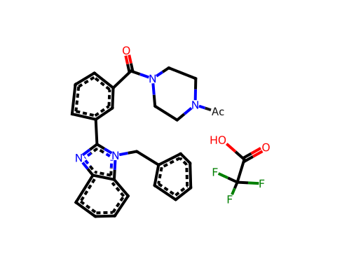 CC(=O)N1CCN(C(=O)c2cccc(-c3nc4ccccc4n3Cc3ccccc3)c2)CC1.O=C(O)C(F)(F)F